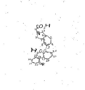 Cc1c(-c2ccc3c(c2)CN(CC(=O)O)C3)cccc1-c1ccccc1F